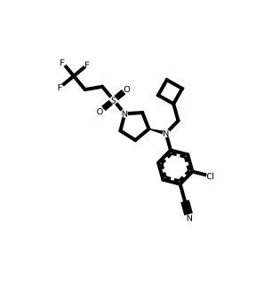 N#Cc1ccc(N(CC2CCC2)[C@H]2CCN(S(=O)(=O)CCC(F)(F)F)C2)cc1Cl